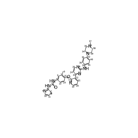 Cc1cc(NC(=O)Nc2nccs2)ccc1Oc1ncccc1-c1ccnc(Nc2ccc(N3CCN(C)CC3)cc2)n1